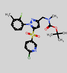 Cc1cccc(-n2nc(CN(C)C(=O)OC(C)(C)C)cc2S(=O)(=O)c2ccc(Cl)nc2)c1F